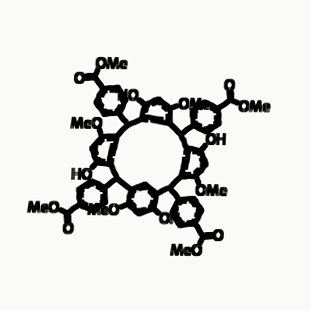 COC(=O)c1ccc(C2c3cc(c(OC)cc3O)C(c3ccc(C(=O)OC)cc3)c3cc(c(OC)cc3O)C(c3ccc(C(=O)OC)cc3)c3cc(c(OC)cc3O)C(c3ccc(C(=O)OC)cc3)c3cc2c(OC)cc3O)cc1